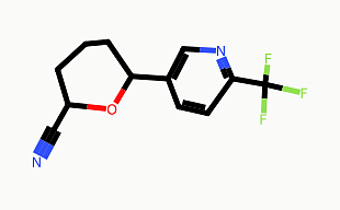 N#CC1CCCC(c2ccc(C(F)(F)F)nc2)O1